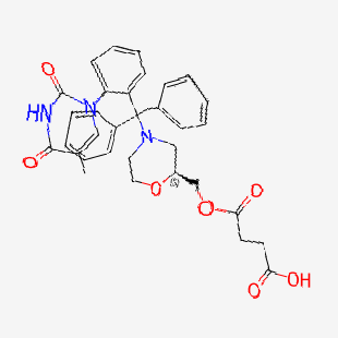 Cc1cn(-c2ccccc2C(c2ccccc2)(c2ccccc2)N2CCO[C@H](COC(=O)CCC(=O)O)C2)c(=O)[nH]c1=O